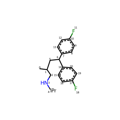 CC(CNC(C)C)CC(c1ccc(F)cc1)c1ccc(F)cc1